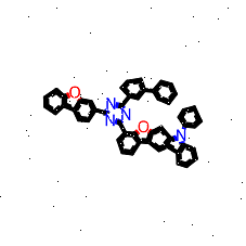 c1ccc(-c2cccc(-c3nc(-c4ccc5c(c4)oc4ccccc45)nc(-c4cccc5c4oc4cc6c(cc45)c4ccccc4n6-c4ccccc4)n3)c2)cc1